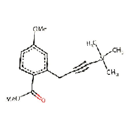 COC(=O)c1ccc(OC)cc1CC#C[Si](C)(C)C